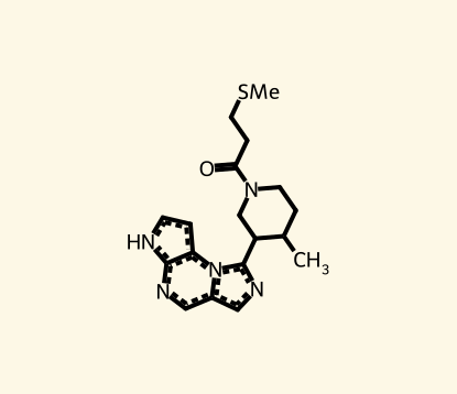 CSCCC(=O)N1CCC(C)C(c2ncc3cnc4[nH]ccc4n23)C1